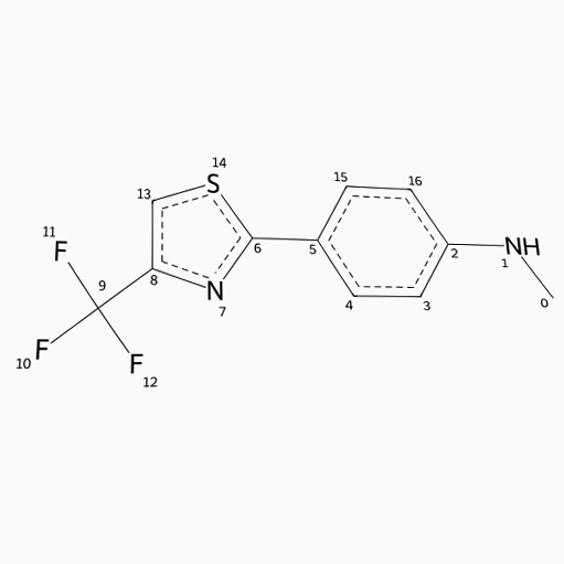 CNc1ccc(-c2nc(C(F)(F)F)cs2)cc1